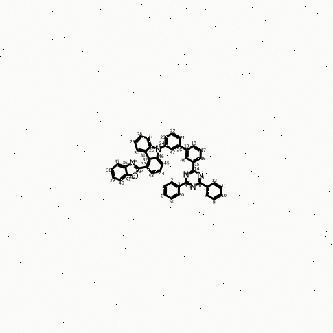 c1ccc(-c2nc(-c3ccccc3)nc(-c3cccc(-c4cccc(-n5c6ccccc6c6c(-c7nc8ccccc8o7)cccc65)c4)c3)n2)cc1